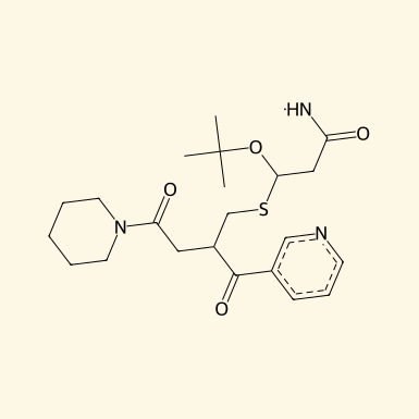 CC(C)(C)OC(CC([NH])=O)SCC(CC(=O)N1CCCCC1)C(=O)c1cccnc1